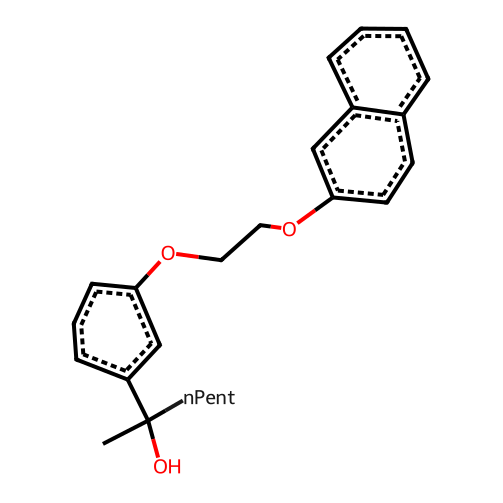 CCCCCC(C)(O)c1cccc(OCCOc2ccc3ccccc3c2)c1